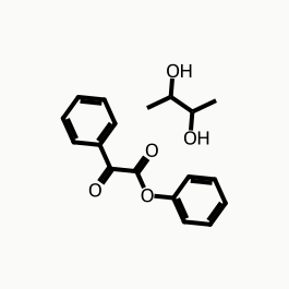 CC(O)C(C)O.O=C(Oc1ccccc1)C(=O)c1ccccc1